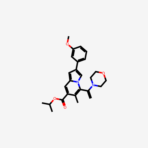 C=C(c1c(C)c(C(=O)OC(C)C)cc2cc(-c3cccc(OC)c3)cn12)N1CCOCC1